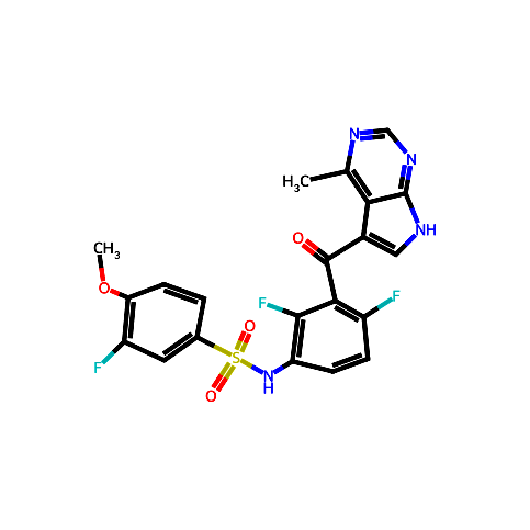 COc1ccc(S(=O)(=O)Nc2ccc(F)c(C(=O)c3c[nH]c4ncnc(C)c34)c2F)cc1F